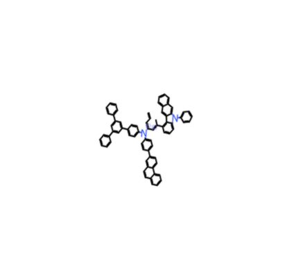 C=C/C=C(\C=C(/C)c1cccc2c1c1cc3ccccc3cc1n2-c1ccccc1)N(c1ccc(-c2cc(-c3ccccc3)cc(-c3ccccc3)c2)cc1)c1ccc(-c2ccc3c(ccc4ccccc43)c2)cc1